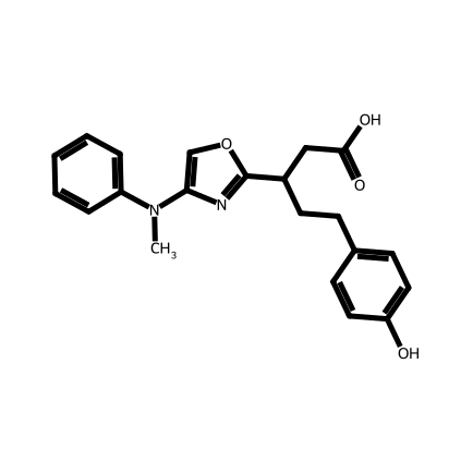 CN(c1ccccc1)c1coc(C(CCc2ccc(O)cc2)CC(=O)O)n1